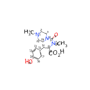 CN1CCN(C(=O)N(C)C(Cc2ccc(O)cc2)C(=O)O)CC1